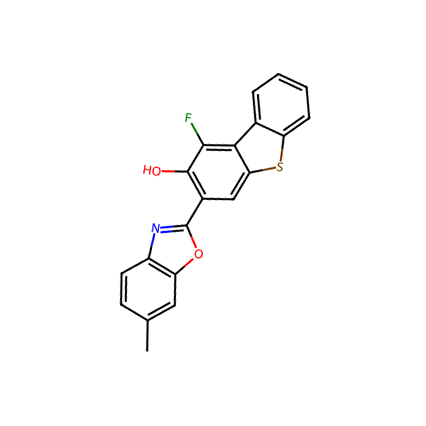 Cc1ccc2nc(-c3cc4sc5ccccc5c4c(F)c3O)oc2c1